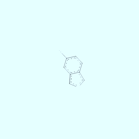 O=[N+]([O-])c1ccc2co[c]c2c1